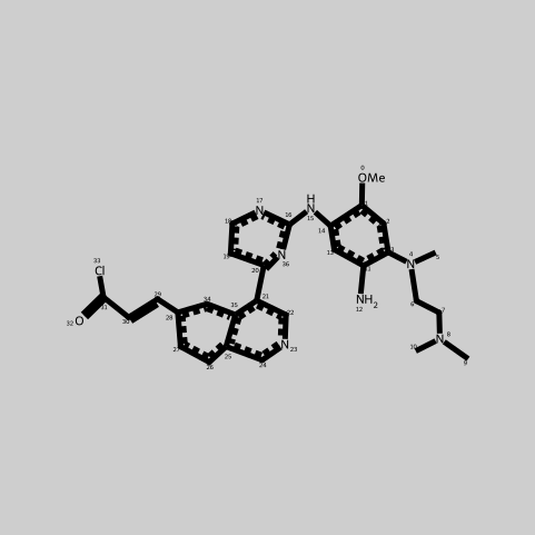 COc1cc(N(C)CCN(C)C)c(N)cc1Nc1nccc(-c2cncc3ccc(/C=C/C(=O)Cl)cc23)n1